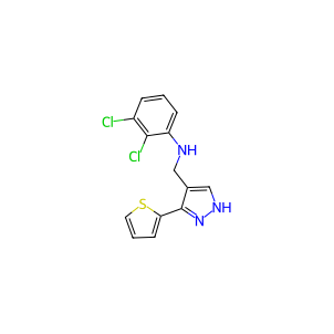 Clc1cccc(NCc2c[nH]nc2-c2cccs2)c1Cl